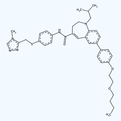 CCCCOCCOc1ccc(-c2ccc3c(c2)C=C(C(=O)Nc2ccc(SCc4nncn4C)cc2)CCN3CC(C)C)cc1